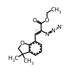 CCOC(=O)/C(=C/c1cccc2c1OCC2(C)C)N=[N+]=[N-]